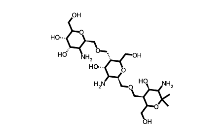 CC1(C)OC(CO)[C@@H](COC[C@@H]2OC(CO)[C@@H](COC[C@@H]3OC(CO)[C@@H](O)[C@@H](O)C3N)[C@@H](O)C2N)[C@@H](O)C1N